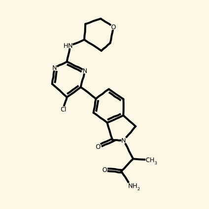 CC(C(N)=O)N1Cc2ccc(-c3nc(NC4CCOCC4)ncc3Cl)cc2C1=O